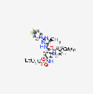 CCOC(=O)CS(=O)(=O)Nc1ccc(C(=O)Nc2cc(C)nc(N3CCC(F)(F)CC3)n2)c(N2CCC3(COC)CC3C2)c1